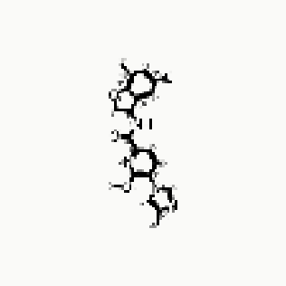 COc1nc(C(=O)NC2COc3c(C)cc(Cl)cc32)ccc1-n1cnc(C)c1